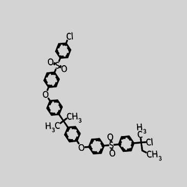 CCC(C)(Cl)c1ccc(S(=O)(=O)c2ccc(Oc3ccc(C(C)(C)c4ccc(Oc5ccc(S(=O)(=O)c6ccc(Cl)cc6)cc5)cc4)cc3)cc2)cc1